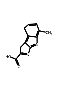 CC1=C2N=C3N=C(C(=O)O)CC3=C2CC=C1